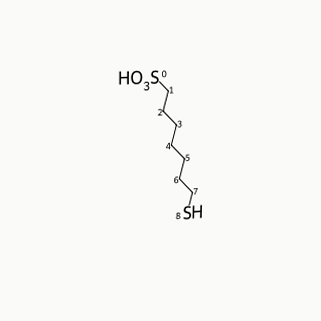 O=S(=O)(O)CCCCCCCS